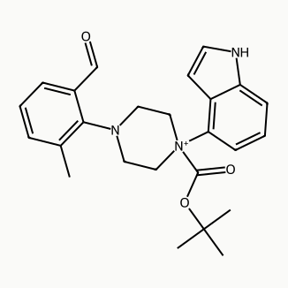 Cc1cccc(C=O)c1N1CC[N+](C(=O)OC(C)(C)C)(c2cccc3[nH]ccc23)CC1